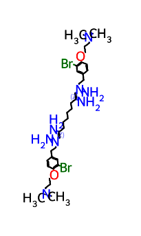 CN(C)CCCOc1ccc(CCN(N)/C=C(\N)CCCCCC/C(N)=C/N(N)CCc2ccc(OCCCN(C)C)c(Br)c2)cc1Br